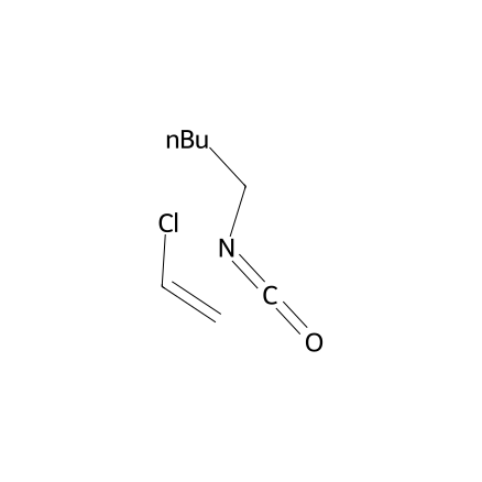 C=CCl.CCCCCN=C=O